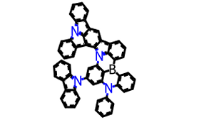 c1ccc(N2c3ccccc3B3c4c2cc(-n2c5ccccc5c5ccccc52)cc4-n2c4c3cccc4c3cc4c5ccccc5n5c6ccccc6c(c32)c45)cc1